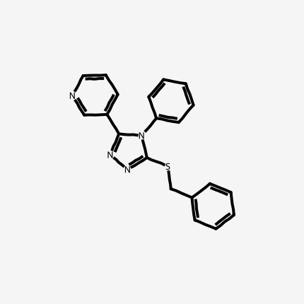 c1ccc(CSc2nnc(-c3cccnc3)n2-c2ccccc2)cc1